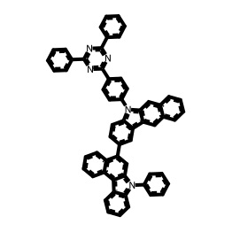 c1ccc(-c2nc(-c3ccccc3)nc(-c3ccc(-n4c5ccc(-c6cc7c(c8ccccc68)c6ccccc6n7-c6ccccc6)cc5c5cc6ccccc6cc54)cc3)n2)cc1